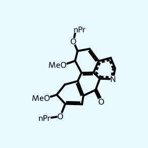 CCCOC1=CC2=C(CC1OC)C1=c3c(nccc3=CC(OCCC)C1OC)C2=O